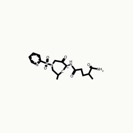 CC1C[C@H](NC(=O)[CH]CC(C)C(N)=O)C(=O)CN(S(=O)(=O)c2ccccn2)C1